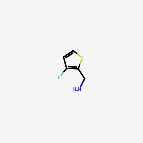 NCc1sccc1F